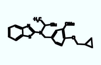 [CH2]C(N(Cc1ccc(OCC2CC2)c(OC)c1)c1nc2ccccc2s1)C(C)(C)C